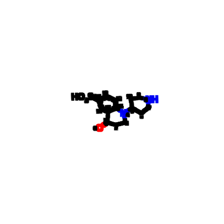 O=C1CCN(C2CCNCC2)c2ccc(S(=O)(=O)O)cc21